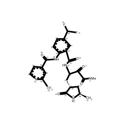 CNC(=O)C(=O)C(C[C@@H]1C[C@@H](C)NC1=O)NC(=O)c1cc(C(F)F)ccc1NC(=O)c1ccnc(C(F)(F)F)c1